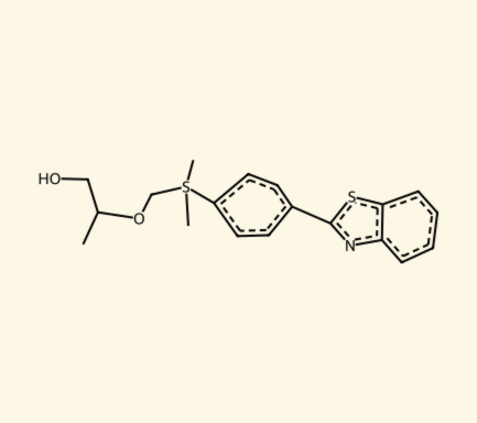 CC(CO)OCS(C)(C)c1ccc(-c2nc3ccccc3s2)cc1